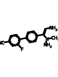 CN(N)/C(=C\N)c1ccc(-c2ccc(C#N)cc2F)cc1